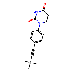 C[Si](C)(C)C#Cc1ccc(N2CCC(=O)NC2=O)cc1